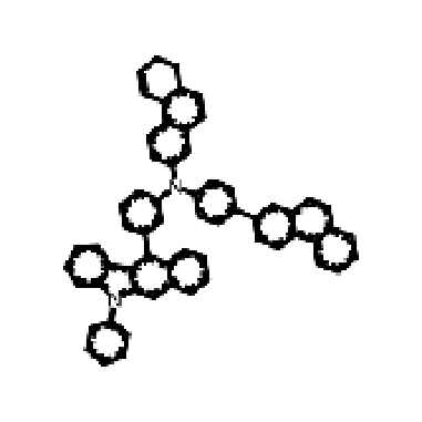 C1=Cc2c(ccc3cc(N(c4ccc(-c5ccc6c(ccc7ccccc76)c5)cc4)c4cccc(-c5c6ccccc6cc6c5c5ccccc5n6-c5ccccc5)c4)ccc23)CC1